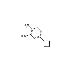 Nc1cnc(C2CCC2)nc1N